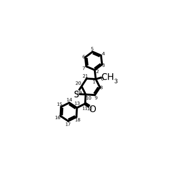 CC1(c2ccccc2)C=CC2(C(=O)c3ccccc3)SC2C1